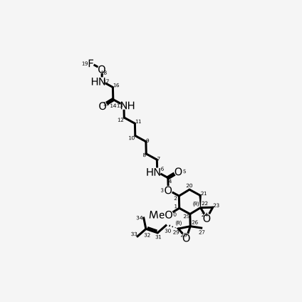 COC1C(OC(=O)NCCCCCCNC(=O)CNOF)CC[C@]2(CO2)C1C1(C)O[C@@H]1CC=C(C)C